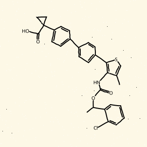 Cc1csc(-c2ccc(-c3ccc(C4(C(=O)O)CC4)cc3)cc2)c1NC(=O)OC(C)c1ccccc1Cl